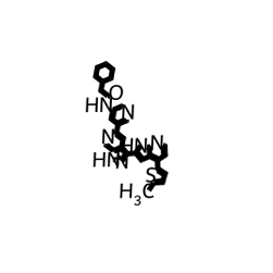 Cc1ccc(-c2ccnc3[nH]c(-c4n[nH]c5cnc(-c6cncc(NC(=O)CC7CCCCC7)c6)cc45)cc23)s1